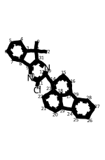 CC1(C)c2ccccc2-c2nc(Cl)c(-c3ccc4c5c(cccc35)-c3ccccc3-4)nc21